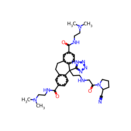 CN(C)CCNC(=O)c1ccc2c(c1)CCc1cc(C(=O)NCCN(C)C)ccc1C2(CCNCC(=O)N1CCCC1C#N)c1nnn[nH]1